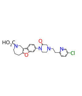 O=C(O)N1CCCc2oc3cc(N4CCN(CCc5ccc(Cl)cn5)CC4=O)ccc3c2C1